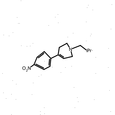 C[C](C)CN1CC=C(c2ccc([N+](=O)[O-])cc2)CC1